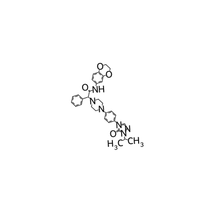 CC(C)n1ncn(-c2ccc(N3CCN(C(C(=O)Nc4ccc5c(c4)OCCO5)c4ccccc4)CC3)cc2)c1=O